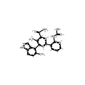 Cc1ccc2[nH]ncc2c1-c1nc(-c2cccnc2NC(=O)C(C)(C)C)nc(C(N)=O)c1N